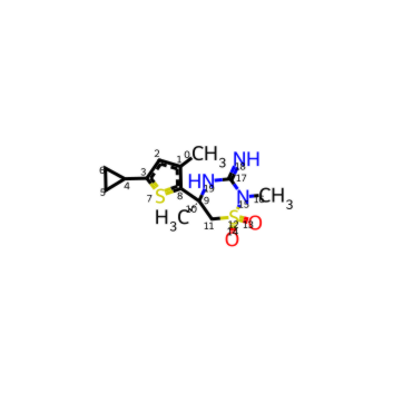 Cc1cc(C2CC2)sc1[C@]1(C)CS(=O)(=O)N(C)C(=N)N1